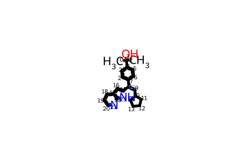 CC(C)(O)c1ccc(/C(=C/C2CCCC2)c2cc3cccnc3[nH]2)cc1